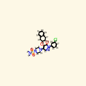 CN(C)S(=O)(=O)N1CCN(c2cnn(-c3cccc(Cl)c3)c(=O)c2OC2CCc3ccccc3C2)CC1